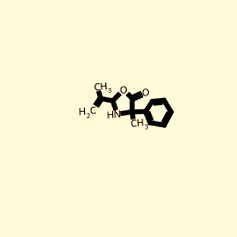 C=C(C)C1NC(C)(c2ccccc2)C(=O)O1